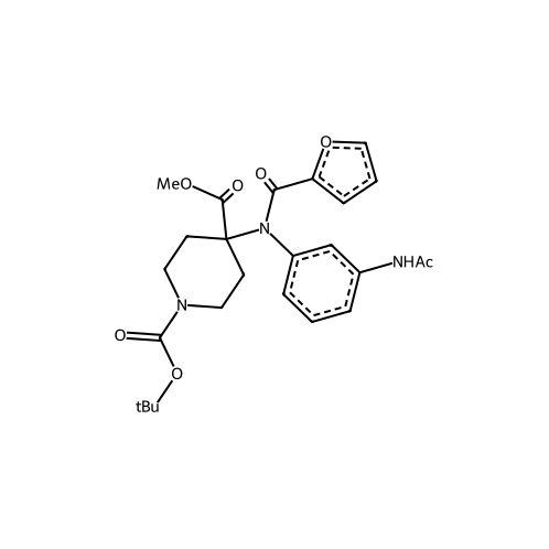 COC(=O)C1(N(C(=O)c2ccco2)c2cccc(NC(C)=O)c2)CCN(C(=O)OC(C)(C)C)CC1